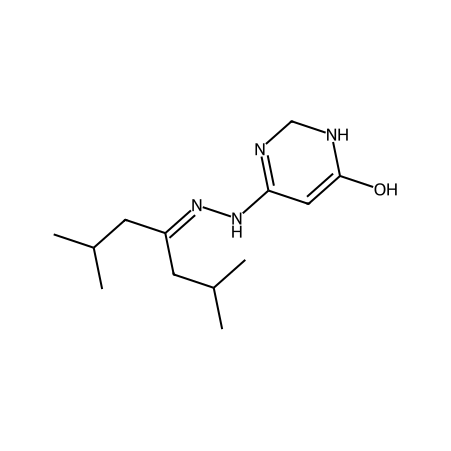 CC(C)CC(CC(C)C)=NNC1=NCNC(O)=C1